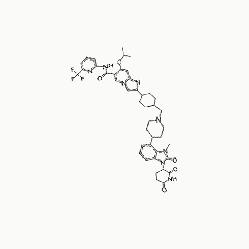 CC(C)Oc1cc2nc(C3CCC(CN4CCC(c5cccc6c5n(C)c(=O)n6C5CCC(=O)NC5=O)CC4)CC3)cn2cc1C(=O)Nc1cccc(C(F)(F)F)n1